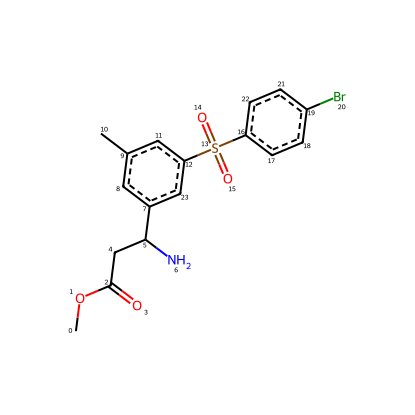 COC(=O)CC(N)c1cc(C)cc(S(=O)(=O)c2ccc(Br)cc2)c1